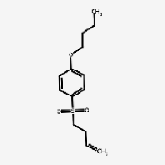 C=CCCS(=O)(=O)c1ccc(OCCCC)cc1